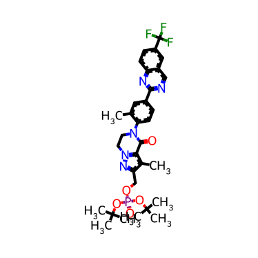 Cc1cc(-c2ncc3cc(C(F)(F)F)ccc3n2)ccc1N1CCn2nc(COP(=O)(OC(C)(C)C)OC(C)(C)C)c(C)c2C1=O